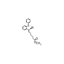 COC(=O)CCCC/C=C(\C#N)c1ccccc1Sc1ccccc1